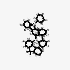 CC1(C)c2ccccc2-c2c(N(c3ccc4c(c3)c3ccccc3n4-c3ccccc3)c3ccccc3-c3ccccc3)cccc21